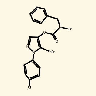 CCCc1c(OC(=O)N(Cc2ccccc2)C(C)C)cnn1-c1ccc(Cl)cc1